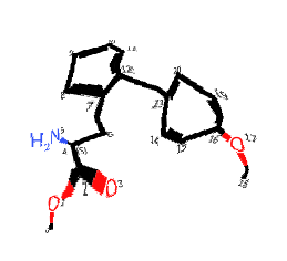 COC(=O)[C@@H](N)Cc1ccccc1-c1ccc(OC)cc1